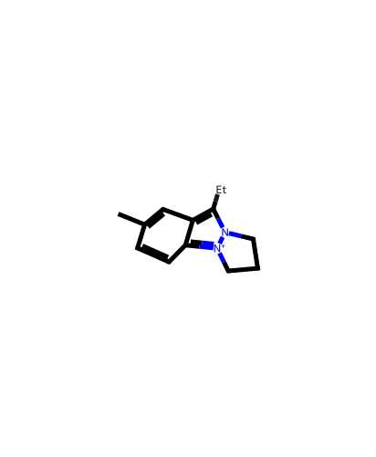 CCc1c2cc(C)ccc2[n+]2n1CCC2